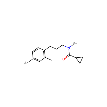 CCN(CCCc1ccc(C(C)=O)cc1C)C(=O)C1CC1